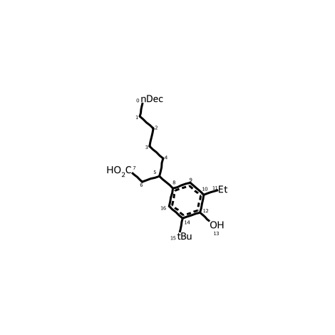 CCCCCCCCCCCCCCC(CC(=O)O)c1cc(CC)c(O)c(C(C)(C)C)c1